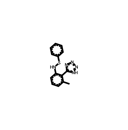 Cc1cccc(NSc2ccccc2)c1-c1nnn[nH]1